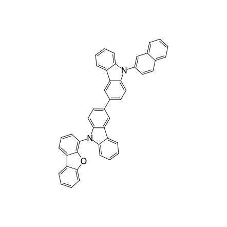 c1ccc2cc(-n3c4ccccc4c4cc(-c5ccc6c(c5)c5ccccc5n6-c5cccc6c5oc5ccccc56)ccc43)ccc2c1